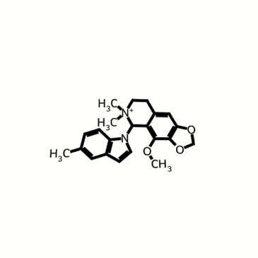 COc1c2c(cc3c1C(n1ccc4cc(C)ccc41)[N+](C)(C)CC3)OCO2